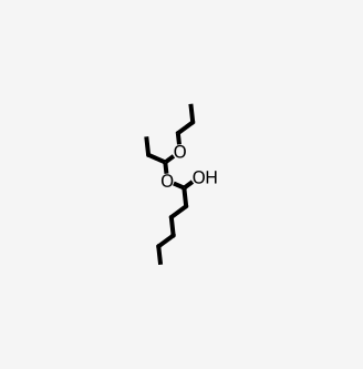 CCCCCC(O)OC(CC)OCCC